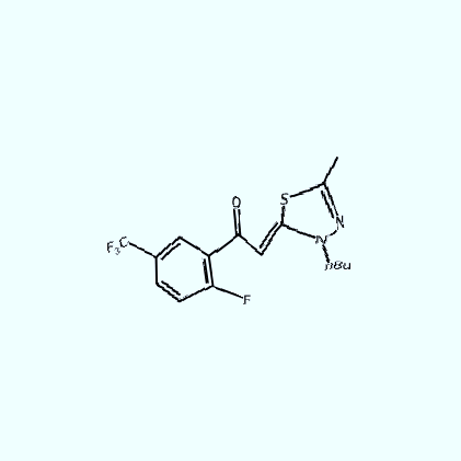 CCCCN1N=C(C)S/C1=C\C(=O)c1cc(C(F)(F)F)ccc1F